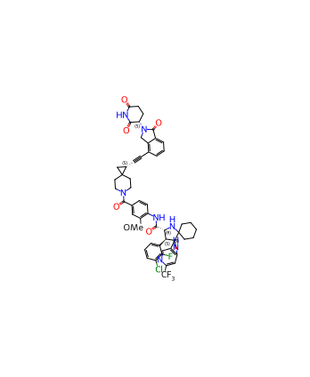 COc1cc(C(=O)N2CCC3(CC2)C[C@@H]3C#Cc2cccc3c2CN([C@H]2CCC(=O)NC2=O)C3=O)ccc1NC(=O)[C@@H]1NC2(CCCCC2)[C@@]2(CNc3cc(C(F)(F)F)ncc32)[C@H]1c1cccc(Cl)c1F